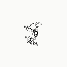 CC[C@H]1CCCC(N)[C@@H](C)C(=O)C2=C[C@@H]3[C@@H](C=C[C@@H]4C[C@@H](OC5OC(C)C(OC)C(OC)C5OC)C[C@@H]34)[C@@H]2CC(=O)O1